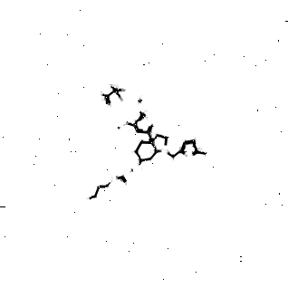 CCCCNC(=O)NSC1CCC2(c3ccc(OC)c(OC)c3)CCN(Cc3ccc(C)o3)C2C1.O=C(O)C(F)(F)F